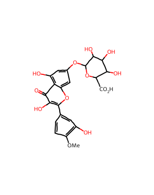 COc1ccc(-c2oc3cc(OC4OC(C(=O)O)C(O)C(O)C4O)cc(O)c3c(=O)c2O)cc1O